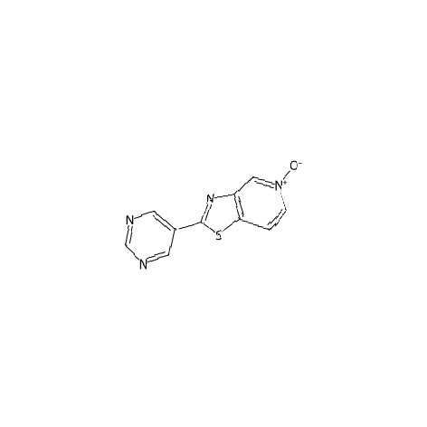 [O-][n+]1ccc2sc(-c3cncnc3)nc2c1